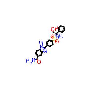 NC(=O)c1ccc2[nH]c(-c3ccc(S(=O)(=O)N[C@@H](CO)c4ccccc4)cc3)nc2c1